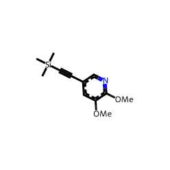 COc1cc(C#C[Si](C)(C)C)cnc1OC